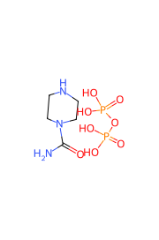 NC(=O)N1CCNCC1.O=P(O)(O)OP(=O)(O)O